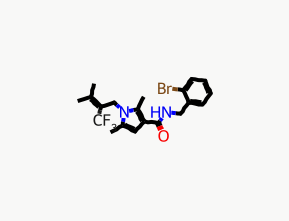 CC(C)=C(Cn1c(C)cc(C(=O)NCc2ccccc2Br)c1C)C(F)(F)F